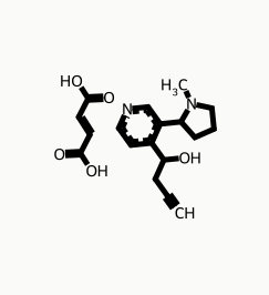 C#CCC(O)c1ccncc1C1CCCN1C.O=C(O)C=CC(=O)O